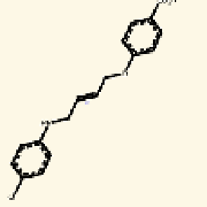 O=C(O)c1ccc(OC/C=C/CNc2ccc(Cl)cc2)cc1